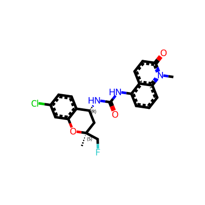 Cn1c(=O)ccc2c(NC(=O)N[C@@H]3C[C@@](C)(CF)Oc4cc(Cl)ccc43)cccc21